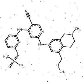 COCc1cc(Nc2ncc(C#N)c(Nc3cccc(N=S(C)(C)=O)n3)n2)cc2c1CCN(C)C2